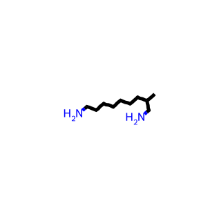 CC(CN)CCCCCCCN